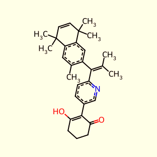 CC(C)=C(c1ccc(C2=C(O)CCCC2=O)cn1)c1cc2c(cc1C)C(C)(C)C=CC2(C)C